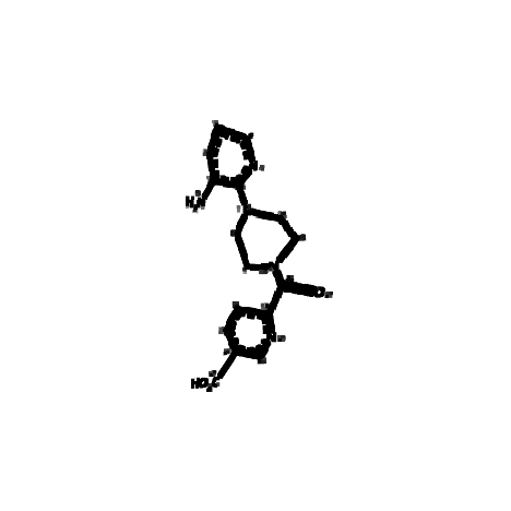 Nc1cccnc1N1CCN(C(=O)c2ccc(C(=O)O)cn2)CC1